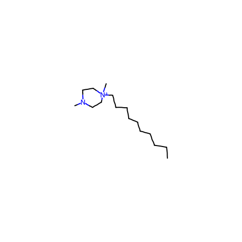 CCCCCCCCCC[N+]1(C)CCN(C)CC1